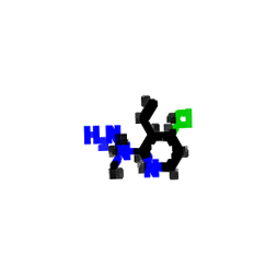 C=Cc1c(Cl)ccnc1N(C)N